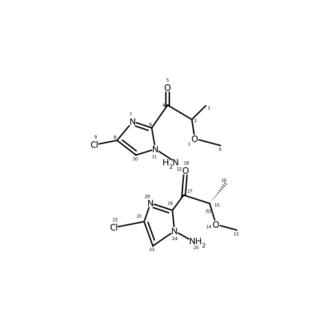 COC(C)C(=O)c1nc(Cl)cn1N.CO[C@@H](C)C(=O)c1nc(Cl)cn1N